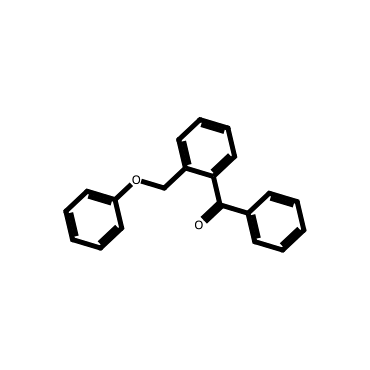 O=C(c1ccccc1)c1ccccc1COc1ccccc1